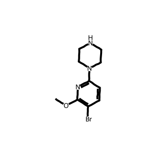 COc1nc(N2CCNCC2)ccc1Br